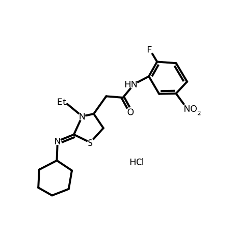 CCN1C(=NC2CCCCC2)SCC1CC(=O)Nc1cc([N+](=O)[O-])ccc1F.Cl